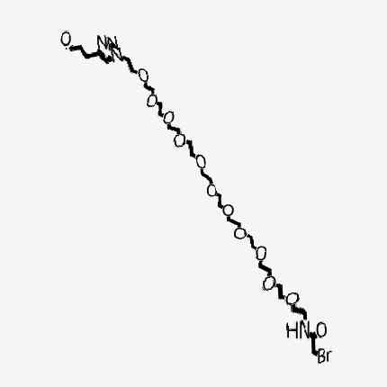 O=[C]CCc1cn(CCOCCOCCOCCOCCOCCOCCOCCOCCOCCOCCOCCNC(=O)CBr)nn1